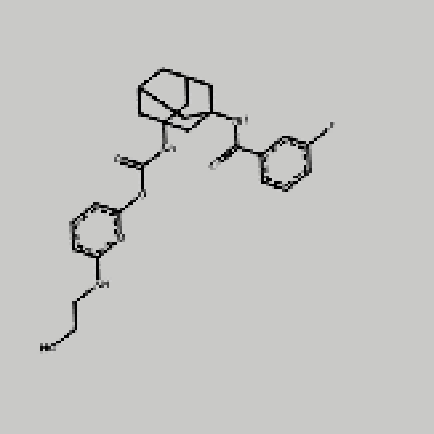 O=C(NC12CC3CC(C1)CC(NC(=O)c1cccc(F)c1)(C3)C2)Oc1cccc(NCCO)n1